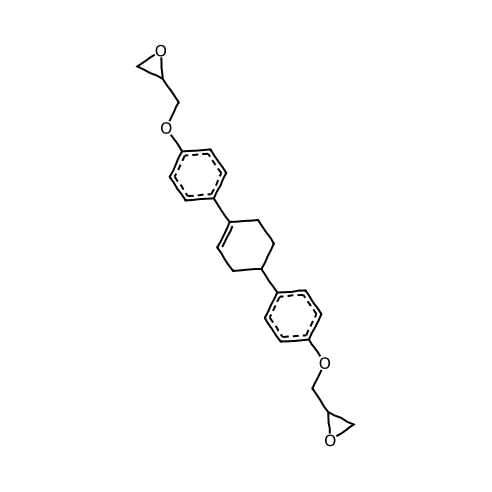 C1=C(c2ccc(OCC3CO3)cc2)CCC(c2ccc(OCC3CO3)cc2)C1